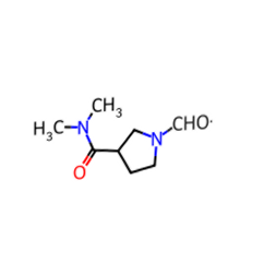 CN(C)C(=O)C1CCN([C]=O)C1